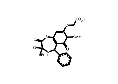 CCCCC1(CC)NC(c2ccccc2)C2=C(C=C(OCC(=O)O)C(SC)C2=O)SC1=O